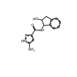 O=C(NC1c2ccccc2CC1O)c1cc([N+](=O)[O-])[nH]n1